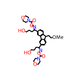 COCCC1c2ccc(/C(CCCO)=N/OC(=O)N3CCOCC3)cc2-c2cc(/C(CCCO)=N/OC(=O)N3CCOCC3)ccc21